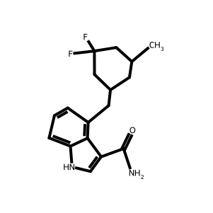 CC1CC(Cc2cccc3[nH]cc(C(N)=O)c23)CC(F)(F)C1